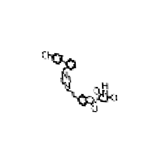 O=C1CCC(N2Cc3cc(CCCN4CCN(Cc5ccccc5-c5ccc(Cl)cc5)CC4)ccc3C2=O)C(=O)N1